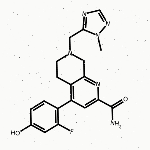 Cn1ncnc1CN1CCc2c(-c3ccc(O)cc3F)cc(C(N)=O)nc2C1